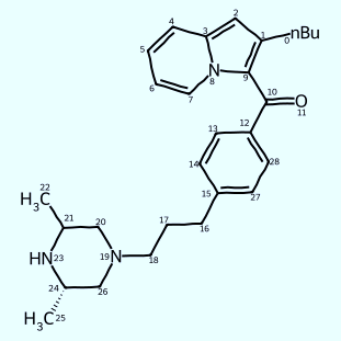 CCCCc1cc2ccccn2c1C(=O)c1ccc(CCCN2CC(C)N[C@@H](C)C2)cc1